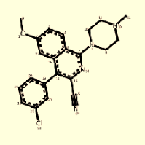 COc1ccc2c(N3CCN(C)CC3)nc(C#N)c(-c3cccc(Cl)c3)c2c1